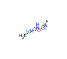 C=CCC1(F)CN([C@H]2CC[C@H](NC(=O)c3cnc4nc(C5CC5)sc4c3)CC2)C1